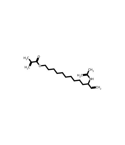 C=CC(CCCCCCCCCCOC(=O)C(=C)C)NC(=C)C